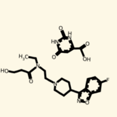 CCN(CCN1CCC(c2noc3cc(F)ccc23)CC1)C(=O)CCO.O=C(O)c1cc(=O)[nH]c(=O)[nH]1